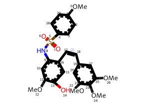 COc1ccc(S(=O)(=O)Nc2cc(OC)c(O)cc2/C=C\c2cc(OC)c(OC)c(OC)c2)cc1